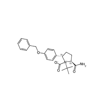 CC(C)(C)[N+]1(C(=O)[O-])[C@H](C(N)=O)CC[C@H]1c1ccc(OCc2ccccc2)cc1